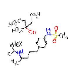 CCCCCCC(CC)NC(C)CCCc1ccc(NS(C)(=O)=O)cc1.O=C(O)CC(O)(CC(=O)O)C(=O)O